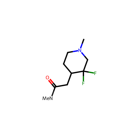 CNC(=O)CC1CCN(C)CC1(F)F